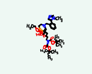 CCOP1(=O)CCN(Cc2ccccc2-c2cncn2C)CC1(CCCCN(C(=O)OC(C)(C)C)C(=O)OC(C)(C)C)C(=O)O